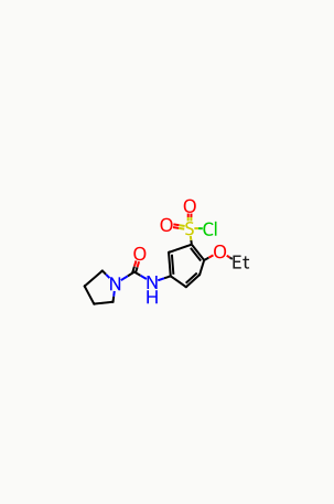 CCOc1ccc(NC(=O)N2CCCC2)cc1S(=O)(=O)Cl